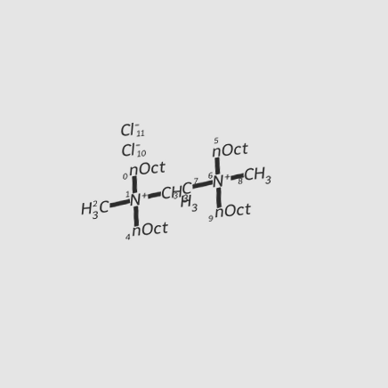 CCCCCCCC[N+](C)(C)CCCCCCCC.CCCCCCCC[N+](C)(C)CCCCCCCC.[Cl-].[Cl-]